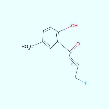 O=C(O)c1ccc(O)c(C(=O)/C=C/CF)c1